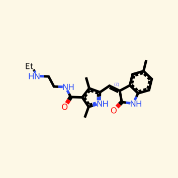 CCNCCNC(=O)c1c(C)[nH]c(/C=C2\C(=O)Nc3ccc(C)cc32)c1C